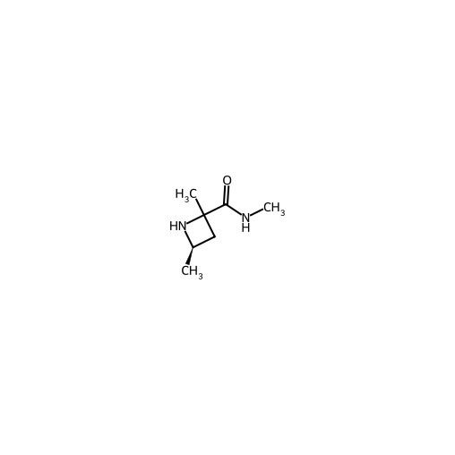 CNC(=O)C1(C)C[C@@H](C)N1